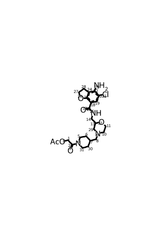 CC(=O)OCC(=O)N1CCC(CN2CCOC(CNC(=O)c3cc(Cl)c(N)c4c3OCC4)C2)CC1